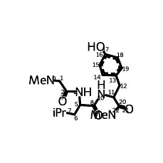 CNCC(=O)NC(CC(C)C)C(=O)NC(Cc1ccc(O)cc1)C(=O)NC